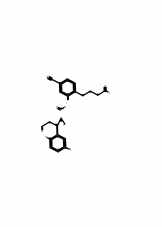 N#Cc1ccc(CCCC(=O)O)c(NC(=O)[C@@H]2C[C@]23CCOc2ccc(F)cc23)c1